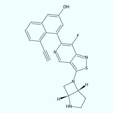 C#Cc1cccc2cc(O)cc(-c3ncc4c(N5C[C@H]6NCC[C@H]65)snc4c3F)c12